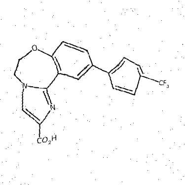 O=C(O)c1cn2c(n1)-c1cc(-c3ccc(C(F)(F)F)cc3)ccc1OCC2